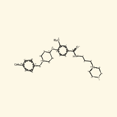 COc1cc(C(=O)NCCCN2CCOCC2)ccc1OC1CCN(Cc2ccc(Cl)cc2)CC1